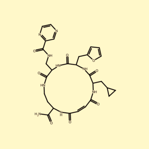 NC(=O)C1CCNC(=O)C(CNC(=O)c2cnccn2)NC(=O)C(Cc2ccco2)NC(=O)C(CC2CC2)NC(=O)C=CC(=O)N1